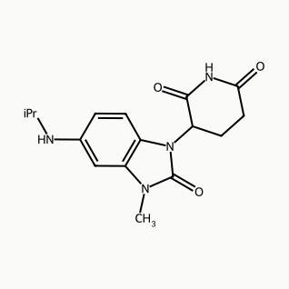 CC(C)Nc1ccc2c(c1)n(C)c(=O)n2C1CCC(=O)NC1=O